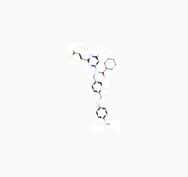 COC(=O)/C=C/c1nc(C)cc(N(Cc2ccc(COc3ccc(N(C)C)cc3)nc2)C(=O)C2CCCCC2)n1